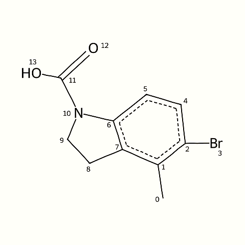 Cc1c(Br)ccc2c1CCN2C(=O)O